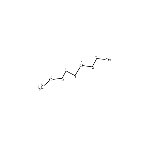 COCCCOCC[O]